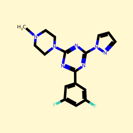 CN1CCN(c2nc(-c3cc(F)cc(F)c3)nc(-n3cccn3)n2)CC1